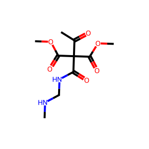 CNCNC(=O)C(C(C)=O)(C(=O)OC)C(=O)OC